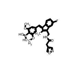 COc1cc(C=C2C(C)=C(CNC(=O)Cc3cnoc3)c3cc(F)ccc32)cc(OC)c1B(O)O